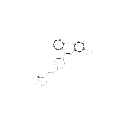 O=C1OCCN1CCN1CCN(C2=Cc3cc(Cl)ccc3Oc3ccccc32)CC1